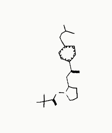 CC(C)Cc1ccc(C(=O)CC2CCCN2OC(=O)C(C)(C)C)cc1